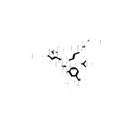 CCn1nc(C)cc1C(=O)Nc1nc2cc(C(N)=O)cc(OC3COC3)c2n1C/C=C/CNC(=O)OC(C)(C)C